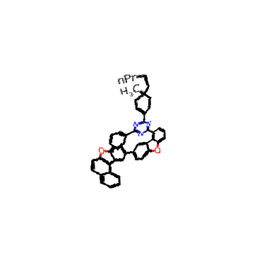 CCC/C=C\C1(C)C=CC(c2nc(-c3ccccc3)nc(-c3cccc4oc5ccc(-c6ccc7oc8ccc9ccccc9c8c7c6)cc5c34)n2)=CC1